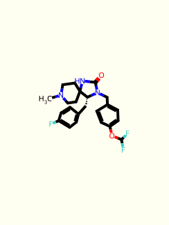 CN1CCC2(CC1)NC(=O)N(Cc1ccc(OC(F)F)cc1)[C@@H]2Cc1ccc(F)cc1